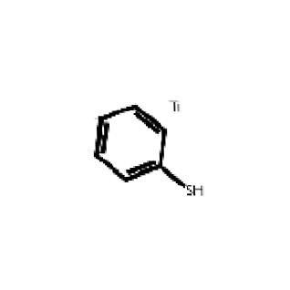 Sc1cc[c]cc1.[Ti]